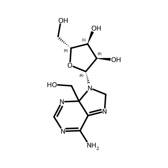 NC1=NC=NC2(CO)C1=NCN2[C@@H]1O[C@H](CO)[C@@H](O)[C@H]1O